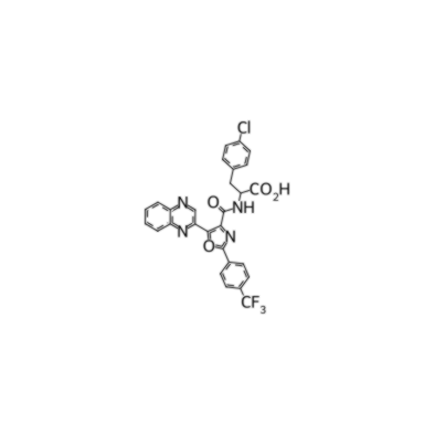 O=C(NC(Cc1ccc(Cl)cc1)C(=O)O)c1nc(-c2ccc(C(F)(F)F)cc2)oc1-c1cnc2ccccc2n1